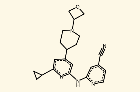 N#Cc1ccnc(Nc2cc(C3CCN(C4COC4)CC3)cc(C3CC3)n2)c1